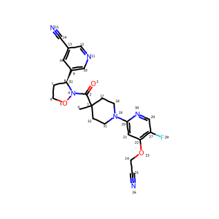 CC1(C(=O)N2OCC[C@H]2c2cncc(C#N)c2)CCN(c2cc(OCC#N)c(F)cn2)CC1